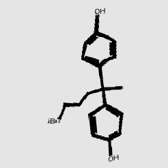 CCC(C)CCCC(C)(c1ccc(O)cc1)c1ccc(O)cc1